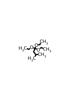 CCOC(CC(C)C)(OCC)OCC